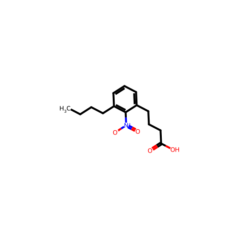 CCCCc1cccc(CCCC(=O)O)c1[N+](=O)[O-]